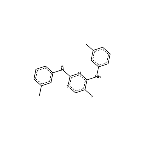 Cc1cccc(Nc2ncc(F)c(Nc3cccc(C)c3)n2)c1